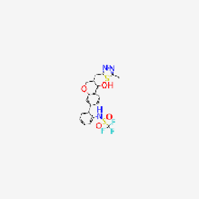 Cc1nnc(CC2COc3cc(-c4ccccc4NS(=O)(=O)C(F)(F)F)ccc3C2O)s1